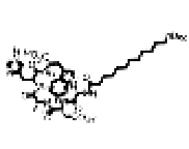 CCCCCCCCCCCCCCCCCCCCCC(=O)NCC(=O)N[C@@H](CC(=O)O)C(=O)N[C@@H](C)C(=O)N[C@@H](Cc1c[nH]cn1)C(=O)N[C@@H](Cc1c[nH]c2ccccc12)C(=O)O